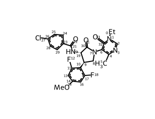 CCn1cnc(C)c(N2C[C@@H](c3c(F)cc(OC)cc3F)[C@H](NC(=O)c3ccc(Cl)cc3)C2=O)c1=O